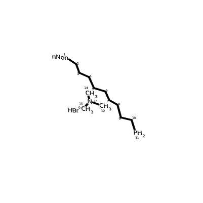 Br.CCCCCCCCCCCCCCCCCCP.CN(C)C